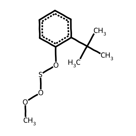 COOSOc1ccccc1C(C)(C)C